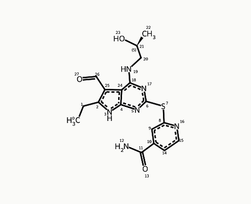 CCc1[nH]c2nc(Sc3cc(C(N)=O)ccn3)nc(NC[C@H](C)O)c2c1C=O